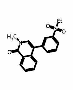 CCS(=O)(=O)c1cccc(-c2cn(C)c(=O)c3ccccc23)c1